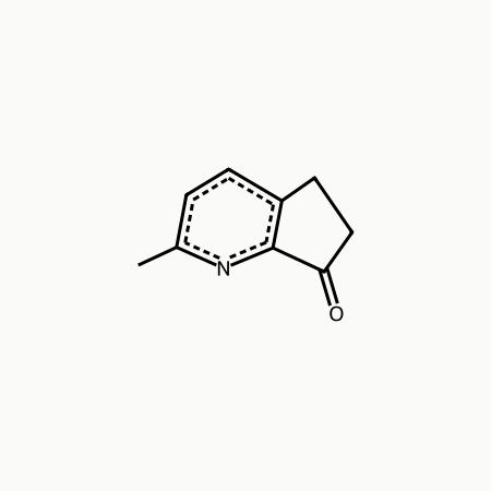 Cc1ccc2c(n1)C(=O)CC2